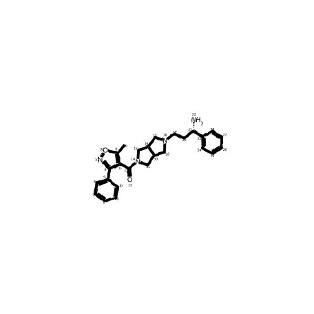 Cc1onc(-c2ccccc2)c1C(=O)N1CC2CN(CC[C@H](N)c3ccccc3)CC2C1